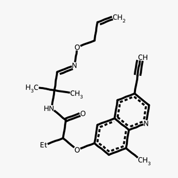 C#Cc1cnc2c(C)cc(OC(CC)C(=O)NC(C)(C)C=NOCC=C)cc2c1